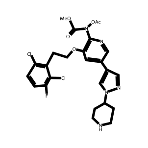 COC(=O)N(OC(C)=O)c1ncc(-c2cnn(C3CCNCC3)c2)cc1OCCc1c(Cl)ccc(F)c1Cl